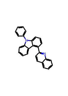 c1ccc(-n2c3ccccc3c3c(-c4ccc5ccccc5n4)cccc32)cc1